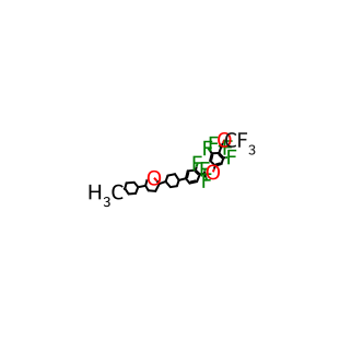 CC1CCC(C2CCC(C3CCC(c4ccc(C(F)(F)Oc5cc(F)c(C(F)(F)OC(F)(F)F)c(F)c5)c(F)c4)CC3)OC2)CC1